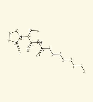 CCCCCCCCC(=O)NC(=O)C(CC)N1CCCC1=O